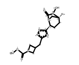 CC(C)(C)OC(=O)N1CC(Cc2nnc([C@@H]3CC[C@H]4CN3C(=O)N4O)o2)C1